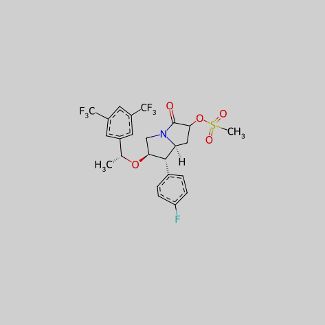 C[C@@H](O[C@H]1CN2C(=O)C(OS(C)(=O)=O)C[C@H]2[C@@H]1c1ccc(F)cc1)c1cc(C(F)(F)F)cc(C(F)(F)F)c1